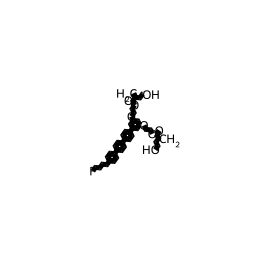 C=C(CCO)C(=O)OCCOc1cc(OCCOC(=O)C(=C)CCO)cc(-c2ccc(-c3ccc(-c4ccc(CCCCF)cc4)cc3)cc2)c1